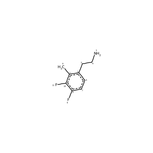 Cc1c(CCN)ccc(F)c1F